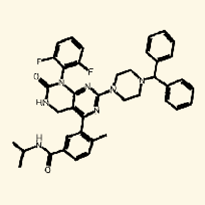 Cc1ccc(C(=O)NC(C)C)cc1-c1nc(N2CCN(C(c3ccccc3)c3ccccc3)CC2)nc2c1CNC(=O)N2c1c(F)cccc1F